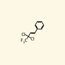 FC(F)(F)C(Cl)(Cl)C=Cc1ccccc1